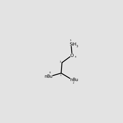 CCCCC(CCCC)CO[SiH3]